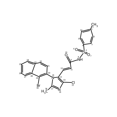 Cc1ccc(S(=O)(=O)NC(=O)/C=C/c2c(Cl)nc(C)n2-c2ccc3ccccc3c2Br)cc1